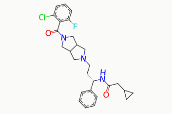 O=C(CC1CC1)N[C@@H](CCN1CC2CN(C(=O)c3c(F)cccc3Cl)CC2C1)c1ccccc1